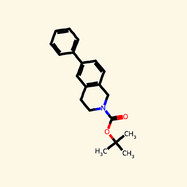 CC(C)(C)OC(=O)N1CCc2cc(-c3ccccc3)ccc2C1